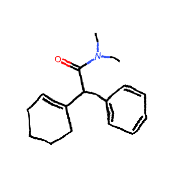 CN(C)C(=O)C(C1=CCCCC1)c1ccccc1